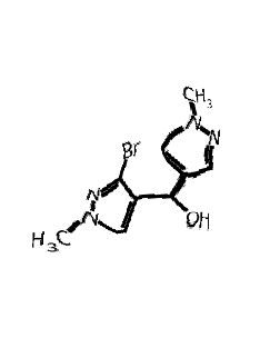 Cn1cc(C(O)c2cn(C)nc2Br)cn1